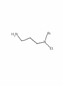 CCN(CCCN)C(C)C